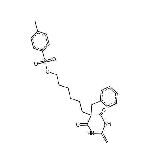 C=C1NC(=O)C(CCCCCCOS(=O)(=O)c2ccc(C)cc2)(Cc2ccccc2)C(=O)N1